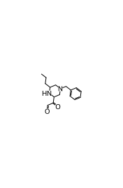 CCCC1CN(Cc2ccccc2)CC(C(=O)C=O)N1